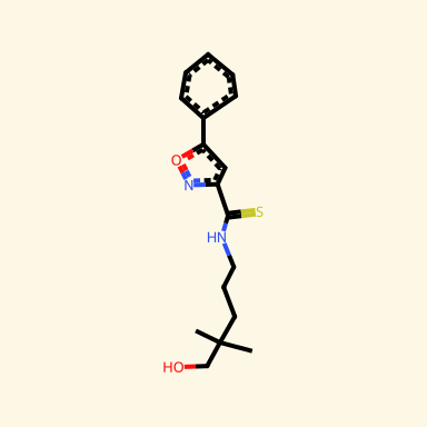 CC(C)(CO)CCCNC(=S)c1cc(-c2ccccc2)on1